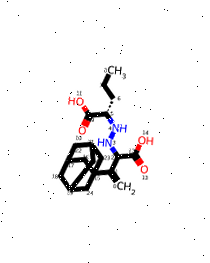 C=C(C(NN[C@@H](CCC)C(=O)O)C(=O)O)C12CC3CC(CC(C3)C1)C2